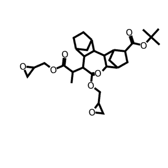 CC(C(=O)OCC1CO1)C(C(=O)OCC1CO1)C1C2CCC(C2)C1C1C(C)C2CC(C(=O)OC(C)(C)C)C1C2